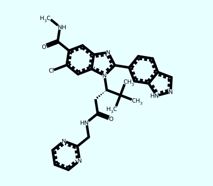 CNC(=O)c1cc2nc(-c3ccc4cn[nH]c4c3)n([C@@H](CC(=O)NCc3ncccn3)C(C)(C)C)c2cc1Cl